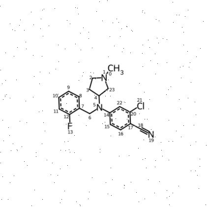 CN1CCC(N(Cc2ccccc2F)c2ccc(C#N)c(Cl)c2)C1